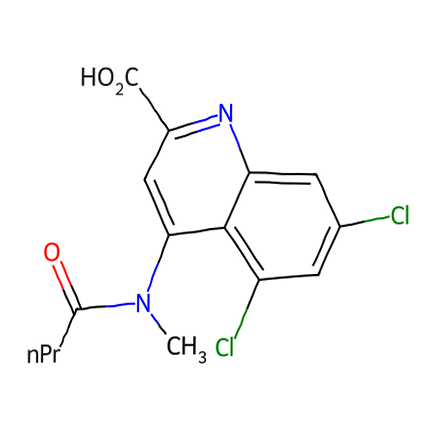 CCCC(=O)N(C)c1cc(C(=O)O)nc2cc(Cl)cc(Cl)c12